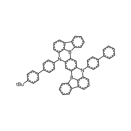 CC(C)(C)c1ccc(-c2ccc(N3c4cc5c(cc4B4c6ccccc6-c6cccc3c64)N(c3ccc(-c4ccccc4)cc3)c3cccc4c3B5c3ccccc3-4)cc2)cc1